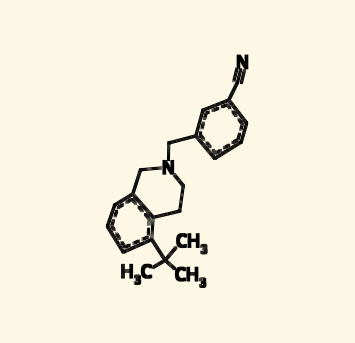 CC(C)(C)c1cccc2c1CCN(Cc1cccc(C#N)c1)C2